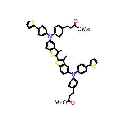 COC(=O)CCc1ccc(N(c2ccc(-c3cccs3)cc2)c2ccc3sc(-c4sc5ccc(N(c6ccc(CCC(=O)OC)cc6)c6ccc(-c7cccs7)cc6)cc5c4C)c(C)c3c2)cc1